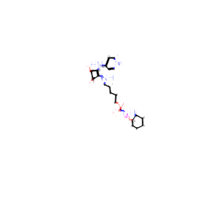 O=C(NOC1CCCCC1)OCCCCCNc1c(Nc2ccncc2)c(=O)c1=O